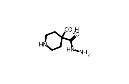 NNC(=O)C1(C(=O)O)CCNCC1